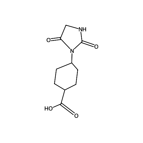 O=C(O)C1CCC(N2C(=O)CNC2=O)CC1